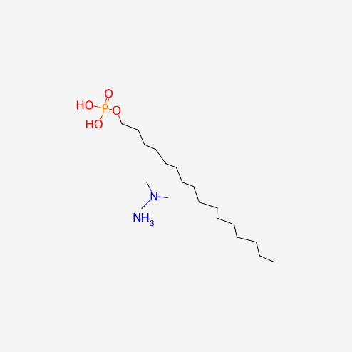 CCCCCCCCCCCCCCCCOP(=O)(O)O.CN(C)C.N